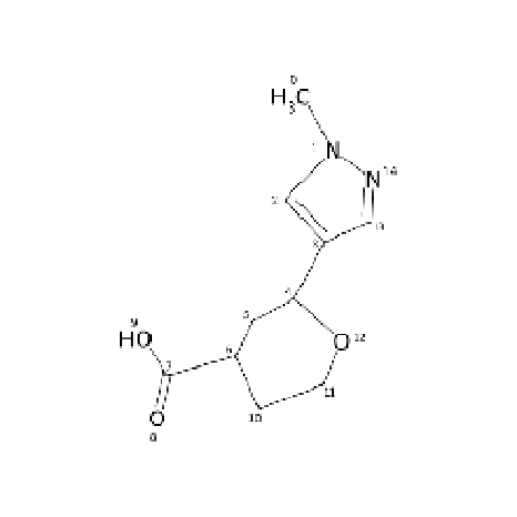 Cn1cc(C2CC(C(=O)O)CCO2)cn1